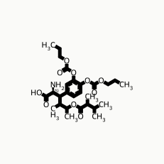 CCCOC(=O)Oc1ccc(C(C(C)C(C)OC(=O)C(C)C(C)C)[C@H](N)C(=O)O)cc1OC(=O)OCCC